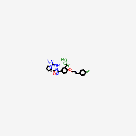 Cl.N=C(N)N1CCC[C@H]1c1nc(-c2ccc(OC/C=C/c3ccc(F)cc3)c(C(F)(F)F)c2)no1